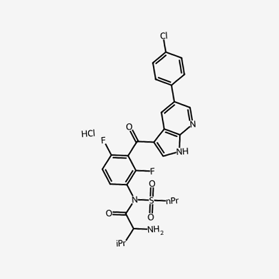 CCCS(=O)(=O)N(C(=O)C(N)C(C)C)c1ccc(F)c(C(=O)c2c[nH]c3ncc(-c4ccc(Cl)cc4)cc23)c1F.Cl